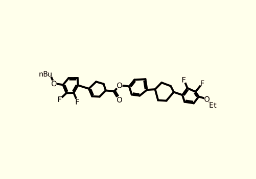 CCCCOc1ccc(C2=CCC(C(=O)Oc3ccc(C4CCC(c5ccc(OCC)c(F)c5F)CC4)cc3)CC2)c(F)c1F